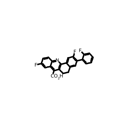 O=C(O)c1c2c(nc3ccc(F)cc13)-c1cc(F)c(-c3ccccc3F)cc1CC2